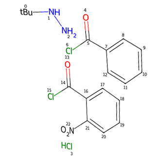 CC(C)(C)NN.Cl.O=C(Cl)c1ccccc1.O=C(Cl)c1ccccc1[N+](=O)[O-]